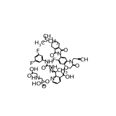 C#CCN1C(=O)COc2cc(F)c(N3C(=O)C4=C(CCCC4)C3=O)cc21.C/C(=N\NC(=O)Nc1cc(F)cc(F)c1)c1ncccc1C(=O)O.C[S+](C)C.O=C(O)CNCP(=O)([O-])O